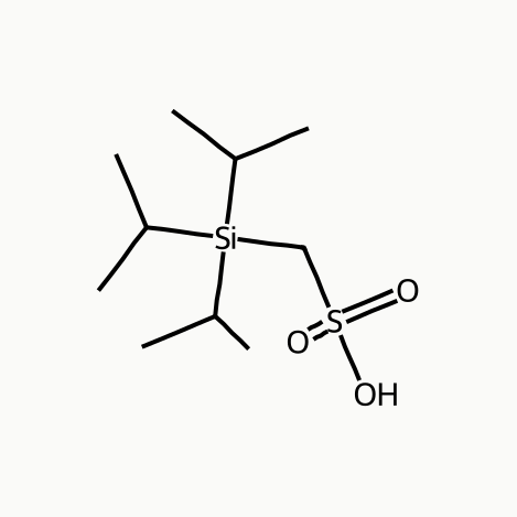 CC(C)[Si](CS(=O)(=O)O)(C(C)C)C(C)C